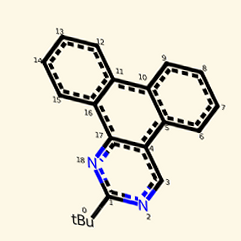 CC(C)(C)c1ncc2c3ccccc3c3ccccc3c2n1